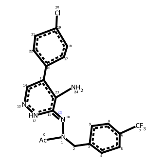 CC(=O)N(Cc1ccc(C(F)(F)F)cc1)/N=c1\[nH]ncc(-c2ccc(Cl)cc2)c1N